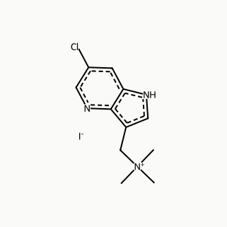 C[N+](C)(C)Cc1c[nH]c2cc(Cl)cnc12.[I-]